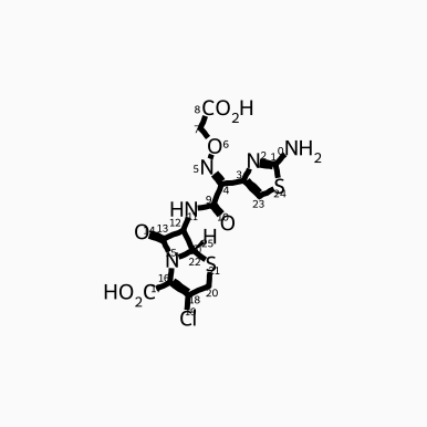 Nc1nc(C(=NOCC(=O)O)C(=O)NC2C(=O)N3C(C(=O)O)=C(Cl)CS[C@@H]23)cs1